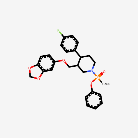 COP(=O)(Oc1ccccc1)N1CCC(c2ccc(F)cc2)C(COc2ccc3c(c2)OCO3)C1